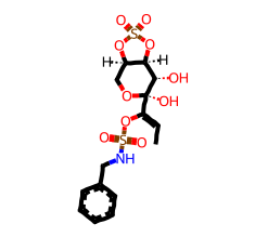 CC=C(OS(=O)(=O)NCc1ccccc1)[C@@]1(O)OC[C@H]2OS(=O)(=O)O[C@H]2[C@@H]1O